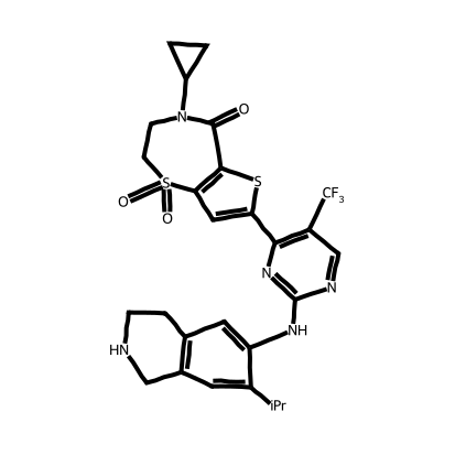 CC(C)c1cc2c(cc1Nc1ncc(C(F)(F)F)c(-c3cc4c(s3)C(=O)N(C3CC3)CCS4(=O)=O)n1)CCNC2